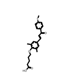 CSc1ccc(C(=O)/C=C/c2cc(C)c(OCCCCC(=O)O)c(C)c2)cc1